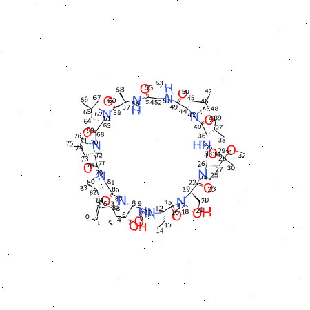 C/C=C/C[C@@H](C)[C@@H](O)[C@H]1C(=O)N[C@@H](CC)C(=O)N(C)[C@H](CO)C(=O)N(C)[C@@H](CC(C)(C)OC)C(=O)N[C@@H](C(C)C)C(=O)N(C)[C@@H](CC(C)C)C(=O)N[C@@H](C)C(=O)N[C@H](C)C(=O)N(C)[C@@H](CC(C)C)C(=O)N(C)[C@@H](CC(C)C)C(=O)N(C)[C@@H](C(C)C)C(=O)N1C